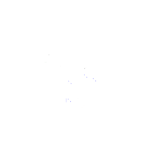 Cc1nc2c(c(CO)nn2[C@@H](C)c2ccc(C(F)(F)F)c(F)c2)c(=O)[nH]1